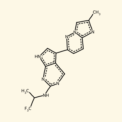 Cc1cn2nc(-c3c[nH]c4nc(NC(C)C(F)(F)F)ncc34)ccc2n1